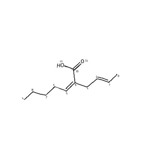 CC=CCC(=CCCCC)C(=O)O